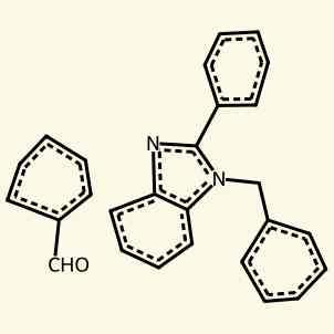 O=Cc1ccccc1.c1ccc(Cn2c(-c3ccccc3)nc3ccccc32)cc1